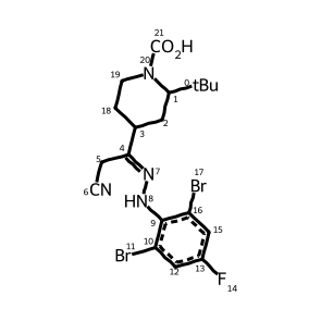 CC(C)(C)C1CC(C(CC#N)=NNc2c(Br)cc(F)cc2Br)CCN1C(=O)O